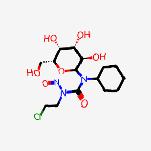 O=NN(CCCl)C(=O)N(C1CCCCC1)C1O[C@H](CO)[C@H](O)[C@H](O)[C@H]1O